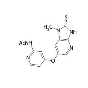 CC(=O)Nc1cc(Oc2cnc3[nH]c(=S)n(C)c3c2)ccn1